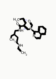 C=CNCCC(CC)CNC(=O)C(/C=C\C)=C/N(C=O)c1nccc2ccccc12